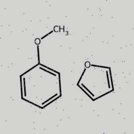 COc1ccccc1.c1ccoc1